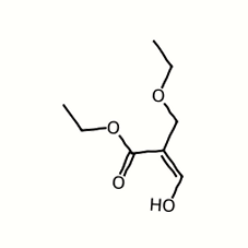 CCOC/C(=C/O)C(=O)OCC